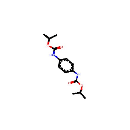 CC(C)OC(=O)Nc1ccc(NC(=O)OC(C)C)cc1